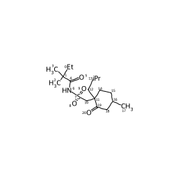 CCC(C)(C)C(=O)NS(=O)(=O)CC1(CC(C)C)CCC(C)CC1=O